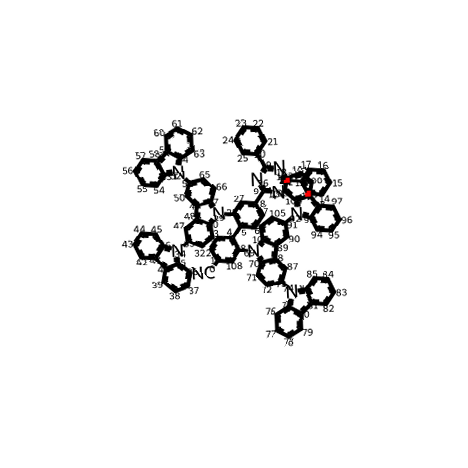 N#Cc1ccc(-c2ccc(-c3nc(-c4ccccc4)nc(-c4ccccc4)n3)cc2-n2c3ccc(-n4c5ccccc5c5ccccc54)cc3c3cc(-n4c5ccccc5c5ccccc54)ccc32)c(-n2c3ccc(-n4c5ccccc5c5ccccc54)cc3c3cc(-n4c5ccccc5c5ccccc54)ccc32)c1